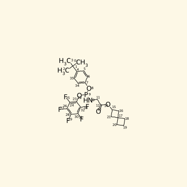 CC(C)(C)c1ccc(OP(NCC(=O)OC2CC3(CCC3)C2)Oc2c(F)c(F)c(F)c(F)c2F)cc1